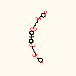 CC(C)(c1ccc(OC(=O)CCCCC(=O)OCC2CCC3OC3C2)cc1)c1ccc(OC(=O)CCCCC(=O)OCC2CCC3OC3C2)cc1